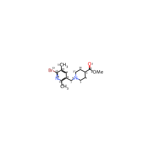 COC(=O)C1CCN(Cc2cc(C)c(Br)nc2C)CC1